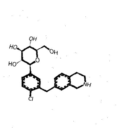 OC[C@H]1O[C@@H](c2ccc(Cl)c(Cc3ccc4c(c3)CNCC4)c2)[C@H](O)[C@@H](O)[C@@H]1O